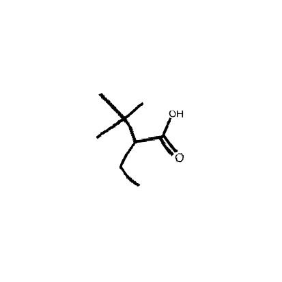 CCC(C(=O)O)C(C)(C)C